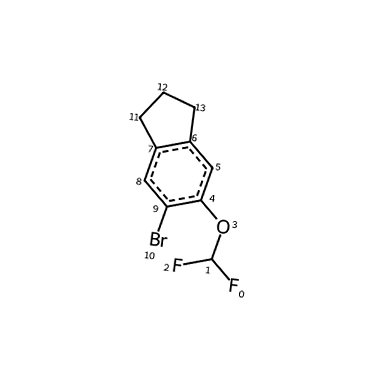 FC(F)Oc1cc2c(cc1Br)CCC2